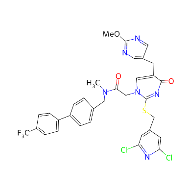 COc1ncc(Cc2cn(CC(=O)N(C)Cc3ccc(-c4ccc(C(F)(F)F)cc4)cc3)c(SCc3cc(Cl)nc(Cl)c3)nc2=O)cn1